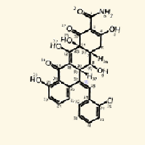 NC(=O)C1=C(O)C[C@@H]2[C@@H](O)[C@H]3C(=C(O)[C@]2(O)C1=O)C(=O)c1c(O)cccc1/C3=C\c1ccccc1Cl